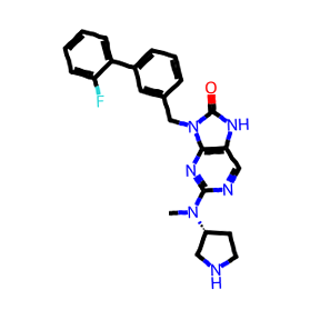 CN(c1ncc2[nH]c(=O)n(Cc3cccc(-c4ccccc4F)c3)c2n1)[C@@H]1CCNC1